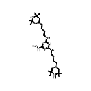 CC1(C)CC(CCCCNc2nc(NO)nc(NCCCCC3CC(C)(C)NC(C)(C)C3)n2)CC(C)(C)N1